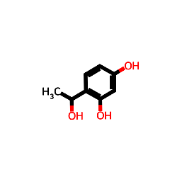 CC(O)c1ccc(O)cc1O